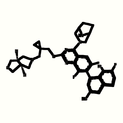 CCc1c(F)ccc2cc(O)cc(-c3c(C)cc4c(N5CC6CCC(C5)N6)nc(OCC5(CN6C[C@H]7COC[C@H]7C6)CC5)nc4c3F)c12